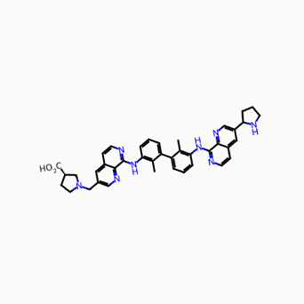 Cc1c(Nc2nccc3cc(CN4CC[C@@H](C(=O)O)C4)cnc23)cccc1-c1cccc(Nc2nccc3cc(C4CCCN4)cnc23)c1C